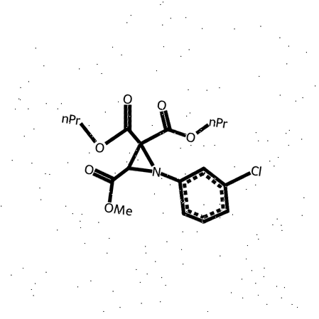 CCCOC(=O)C1(C(=O)OCCC)C(C(=O)OC)N1c1cccc(Cl)c1